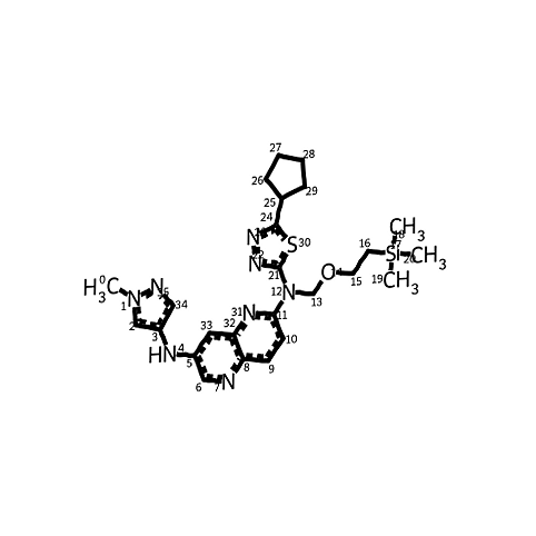 Cn1cc(Nc2cnc3ccc(N(COCC[Si](C)(C)C)c4nnc(C5CCCC5)s4)nc3c2)cn1